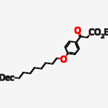 CCCCCCCCCCCCCCCCCCOc1ccc(C(=O)CC(=O)OCC)cc1